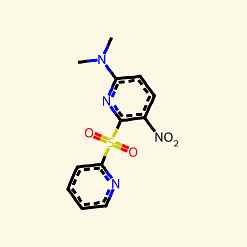 CN(C)c1ccc([N+](=O)[O-])c(S(=O)(=O)c2ccccn2)n1